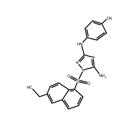 N#CCc1ccc2c(S(=O)(=O)n3nc(Nc4ccc(C#N)cc4)nc3N)cccc2c1